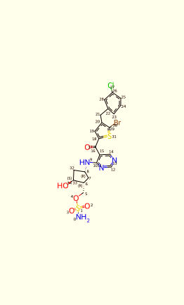 NS(=O)(=O)OC[C@H]1C[C@@H](Nc2ncncc2C(=O)c2cc(Cc3cccc(Cl)c3)c(Br)s2)C[C@@H]1O